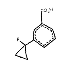 O=C(O)c1cccc(C2(F)CC2)c1